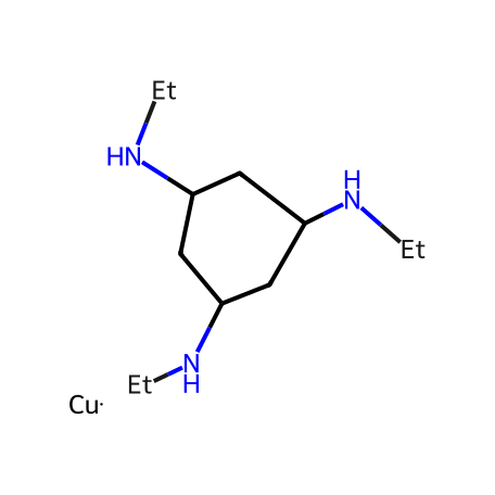 CCNC1CC(NCC)CC(NCC)C1.[Cu]